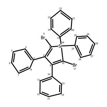 BrC1=C(c2ccccc2)C(c2ccccc2)=C(Br)[Si]1(c1ccccc1)c1ccccc1